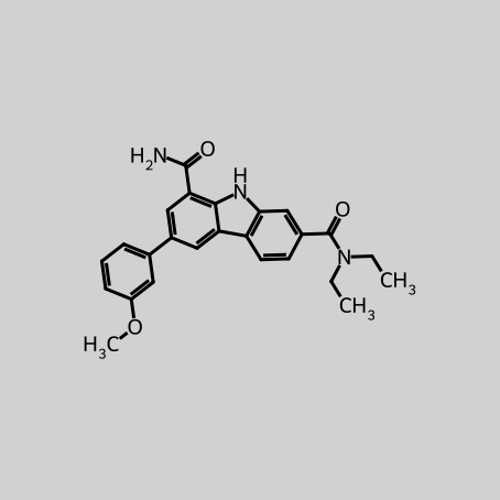 CCN(CC)C(=O)c1ccc2c(c1)[nH]c1c(C(N)=O)cc(-c3cccc(OC)c3)cc12